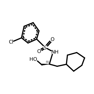 O=S(=O)(N[C@H](CO)CC1CCCCC1)c1cccc(Cl)c1